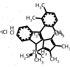 CC1=C(C)C(C)[C]([Zr]([CH3])([CH3])(=[SiH2])[CH]2C=C(c3c(C)ccc(C)c3C)c3ccccc32)=C1C.Cl.Cl